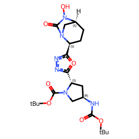 CC(C)(C)OC(=O)N[C@@H]1C[C@@H](c2nnc([C@@H]3CC[C@H]4CN3C(=O)N4O)o2)N(C(=O)OC(C)(C)C)C1